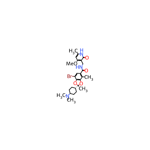 COc1cc(C)[nH]c(=O)c1CNC(=O)c1cc(Br)c2c(c1C)OC(C)([C@H]1CC[C@H](N(C)C)CC1)O2